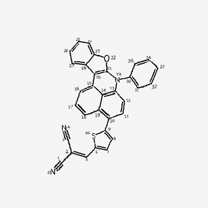 N#CC(C#N)=Cc1ccc(-c2ccc3c4c(cccc24)-c2c(oc4ccccc24)N3c2ccccc2)s1